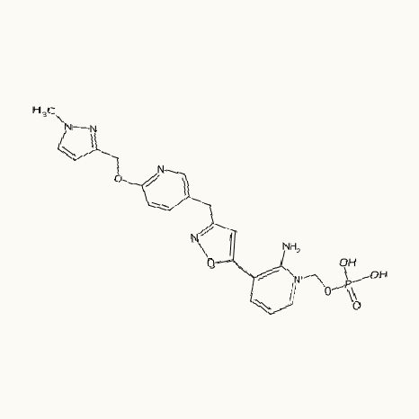 Cn1ccc(COc2ccc(Cc3cc(-c4ccc[n+](COP(=O)(O)O)c4N)on3)cn2)n1